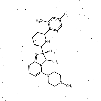 Cc1cc(F)cnc1[C@@H]1CCC[C@H]([C@@]2(C)N=C3C=CC=C(N4CCN(C)CC4)N3C2C)N1